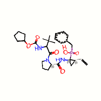 C=C[C@@H]1C[C@]1(NC(=O)[C@@H]1CCCN1C(=O)C(NC(=O)OC1CCCC1)C(C)(C)C)P(=O)(O)Cc1ccccc1